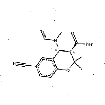 CN(C=O)[C@H]1c2cc(C#N)ccc2OC(C)(C)[C@@H]1C(=O)O